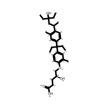 CCC(O)(CC)CC(C)c1ccc(C(CC)(CC)c2ccc(OC[C@@H](O)CCC(=O)O)c(C)c2)cc1C